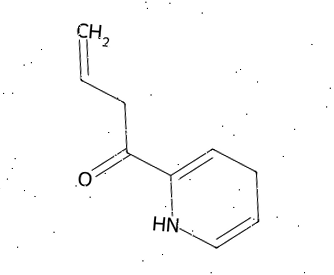 C=CCC(=O)C1=CCC=CN1